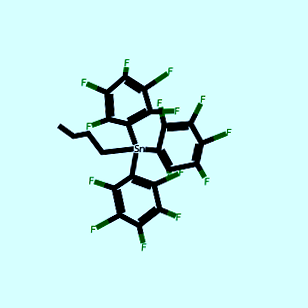 CCC[CH2][Sn]([c]1c(F)c(F)c(F)c(F)c1F)([c]1c(F)c(F)c(F)c(F)c1F)[c]1c(F)c(F)c(F)c(F)c1F